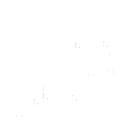 Cc1onc(-c2ccc(F)cn2)c1COc1ccc(C(=O)NN2CCOCC2)nc1